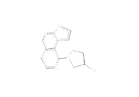 NC1CCN(c2nccc3cnc4[nH]ccc4c23)C1